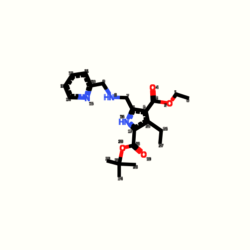 CCOC(=O)c1c(CNCc2ccccn2)[nH]c(C(=O)OC(C)(C)C)c1CC